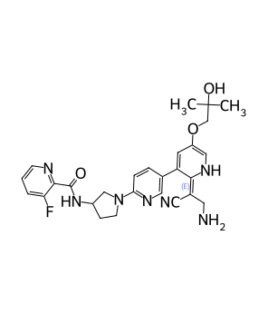 CC(C)(O)COC1=CN/C(=C(/C#N)CN)C(c2ccc(N3CCC(NC(=O)c4ncccc4F)C3)nc2)=C1